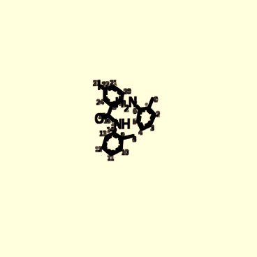 Cc1ccccc1N.Cc1ccccc1NC(=O)c1cccc(I)c1